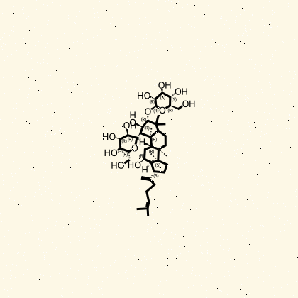 C=C(CCC=C(C)C)[C@H]1CC[C@@]2(C)[C@@H]1[C@H](O)C[C@@H]1[C@@]3(C)C([C@@H]4O[C@H](CO)[C@@H](O)[C@H](O)[C@H]4O)[C@@H](O)[C@H](O[C@@H]4O[C@H](CO)[C@@H](O)[C@H](O)[C@H]4O)C(C)(C)C3CC[C@]12C